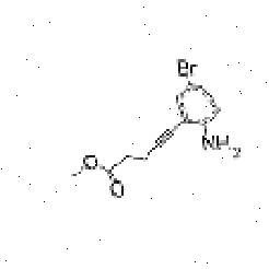 COC(=O)CCC#Cc1cc(Br)ccc1N